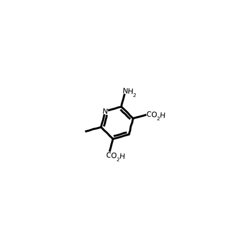 Cc1nc(N)c(C(=O)O)cc1C(=O)O